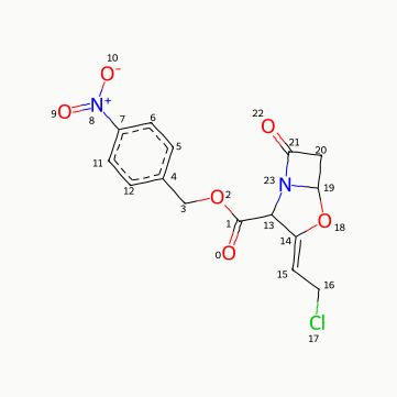 O=C(OCc1ccc([N+](=O)[O-])cc1)C1/C(=C/CCl)OC2CC(=O)N21